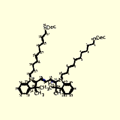 CCCCCCCCCCCCCCCCCCCCN1/C(=C/C=C/C2=[N+](CCCCCCCCCCCCCCCCCCCC)c3ccccc3C2(C)C)C(C)(C)c2ccccc21